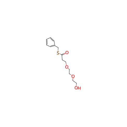 O=C(CCOCCOCCO)SCc1ccccc1